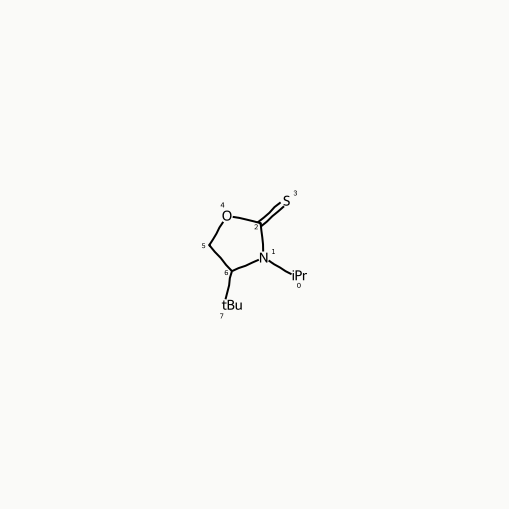 CC(C)N1C(=S)OCC1C(C)(C)C